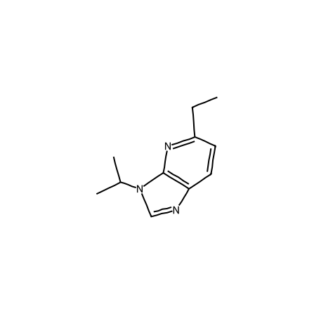 CCc1ccc2ncn(C(C)C)c2n1